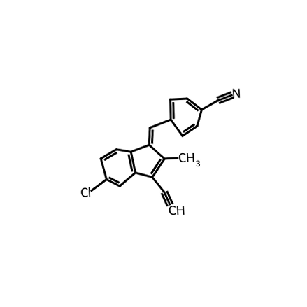 C#CC1=C(C)C(=Cc2ccc(C#N)cc2)c2ccc(Cl)cc21